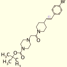 CC(C)(C)OC(=O)N1CCN(CC(=O)N2CCC(/C=C/c3ccc(Br)cc3)CC2)CC1